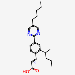 CCCCCc1cnc(-c2ccc(/C=C/C(=O)O)c(C(C)CCC)c2)nc1